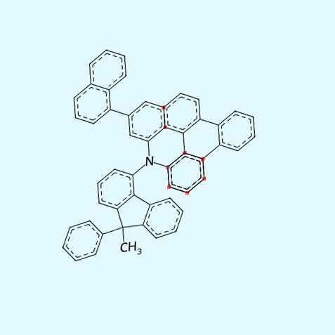 CC1(c2ccccc2)c2ccccc2-c2c(N(c3cccc(-c4cccc5ccccc45)c3)c3ccccc3-c3ccccc3-c3ccccc3-c3ccccc3)cccc21